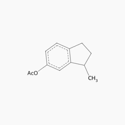 CC(=O)Oc1ccc2c(c1)C(C)CC2